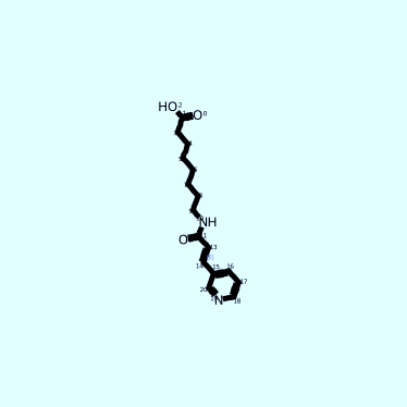 O=C(O)CCCCCCCNC(=O)/C=C/c1cccnc1